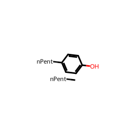 CCCCCC.CCCCCc1ccc(O)cc1